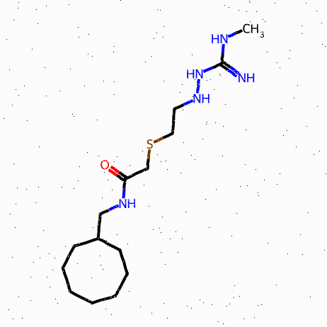 CNC(=N)NNCCSCC(=O)NCC1CCCCCCC1